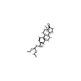 CCOC(CNc1ccc2c(c1)CCC1C2CC[C@]2(C)C(=O)CCC12)OCC